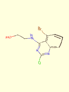 OCCNc1nc(Cl)nc2cccc(Br)c12